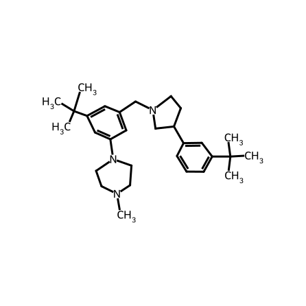 CN1CCN(c2cc(CN3CCC(c4cccc(C(C)(C)C)c4)C3)cc(C(C)(C)C)c2)CC1